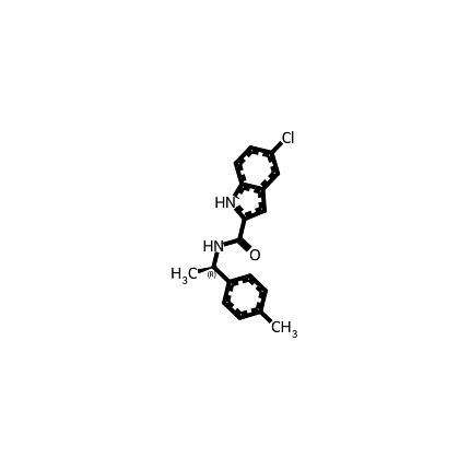 Cc1ccc([C@@H](C)NC(=O)c2cc3cc(Cl)ccc3[nH]2)cc1